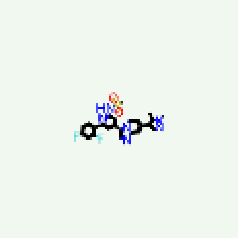 Cc1c(-c2ccn3c(-c4cc(NS(C)(=O)=O)nc(-c5ccc(F)cc5F)c4)cnc3c2)cnn1C